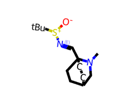 CN1CC2CCC1(/C=N/[S+]([O-])C(C)(C)C)CC2